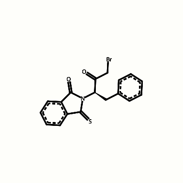 O=C(CBr)[C@@H](Cc1ccccc1)N1C(=O)c2ccccc2C1=S